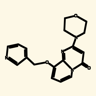 O=c1cc(N2CCOCC2)nc2c(OCc3cccnc3)cccn12